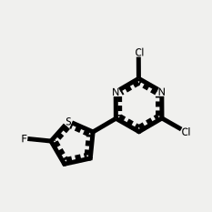 Fc1ccc(-c2cc(Cl)nc(Cl)n2)s1